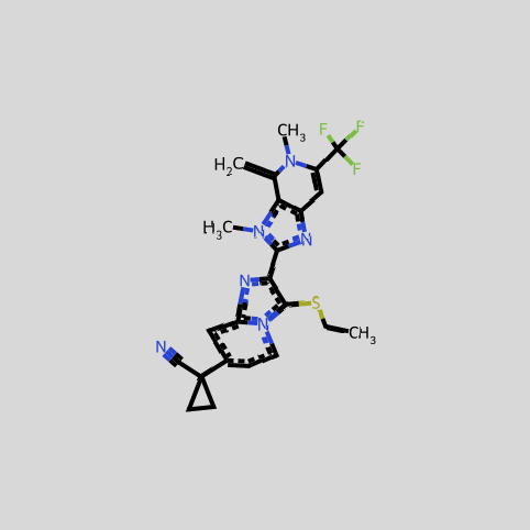 C=C1c2c(nc(-c3nc4cc(C5(C#N)CC5)ccn4c3SCC)n2C)C=C(C(F)(F)F)N1C